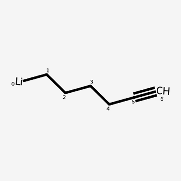 [Li][CH2]CCCC#C